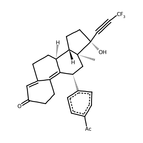 CC(=O)c1ccc([C@H]2C[C@@]3(C)[C@@H](CC[C@@]3(O)C#CC(F)(F)F)[C@@H]3CCC4=CC(=O)CCC4=C32)cc1